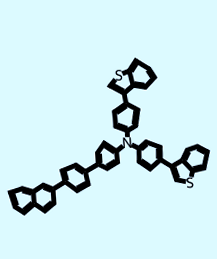 c1ccc2cc(-c3ccc(-c4ccc(N(c5ccc(-c6csc7ccccc67)cc5)c5ccc(-c6csc7ccccc67)cc5)cc4)cc3)ccc2c1